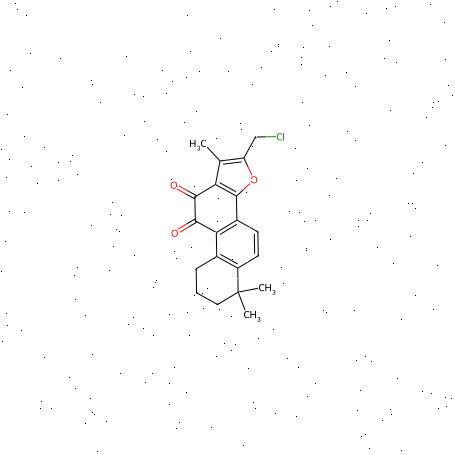 Cc1c(CCl)oc2c1C(=O)C(=O)c1c-2ccc2c1CCCC2(C)C